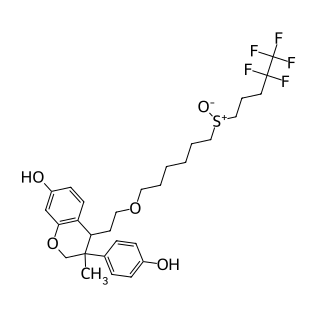 CC1(c2ccc(O)cc2)COc2cc(O)ccc2C1CCOCCCCCC[S+]([O-])CCCC(F)(F)C(F)(F)F